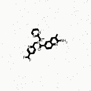 Cc1cc2cc(C(=O)N(Cc3ccc(C(F)F)cn3)[C@H](C)c3ncccn3)ccc2nc1N